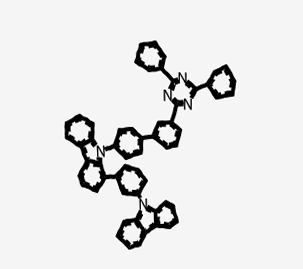 c1ccc(-c2nc(-c3ccccc3)nc(-c3cccc(-c4ccc(-n5c6ccccc6c6cccc(-c7cccc(-n8c9ccccc9c9ccccc98)c7)c65)cc4)c3)n2)cc1